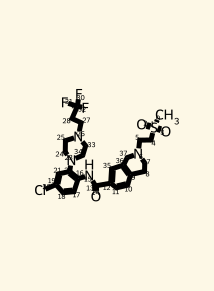 CS(=O)(=O)CCN1CCc2ccc(C(=O)Nc3ccc(Cl)cc3N3CCN(CCC(F)(F)F)CC3)cc2C1